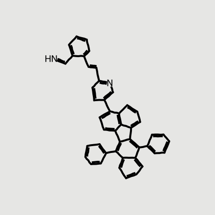 N=Cc1ccccc1/C=C/c1ccc(-c2ccc3c4c(cccc24)-c2c-3c(-c3ccccc3)c3ccccc3c2-c2ccccc2)cn1